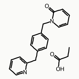 CCC(=O)O.O=c1ccccn1Cc1ccc(Cc2ccccn2)cc1